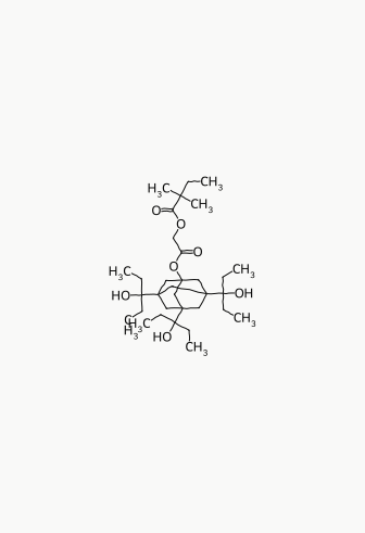 CCC(C)(C)C(=O)OCC(=O)OC12CC3(C(O)(CC)CC)CC(C(O)(CC)CC)(C1)CC(C(O)(CC)CC)(C2)C3